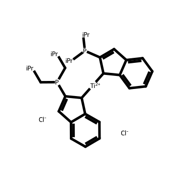 CC(C)CP(CC(C)C)C1=Cc2ccccc2[CH]1[Ti+2][CH]1C(P(C(C)C)C(C)C)=Cc2ccccc21.[Cl-].[Cl-]